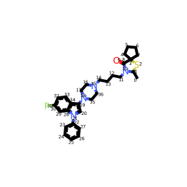 CC1SC2(CCCC2)C(=O)N1CCCCN1CCN(c2cn(-c3ccccc3)c3cc(F)ccc23)CC1